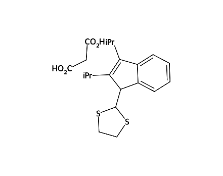 CC(C)C1=C(C(C)C)C(C2SCCS2)c2ccccc21.O=C(O)CC(=O)O